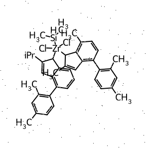 CC1=Cc2c(-c3ccc(C)cc3C)ccc(C)c2[CH]1[Zr]([Cl])([Cl])([CH]1C(C(C)C)=Cc2c(-c3ccc(C)cc3C)cccc21)[SiH](C)C